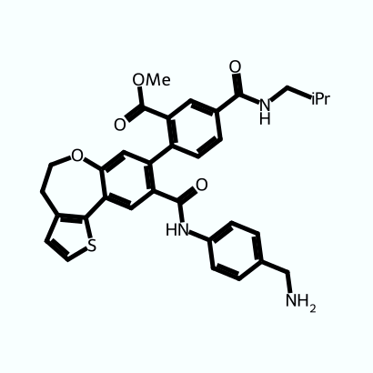 COC(=O)c1cc(C(=O)NCC(C)C)ccc1-c1cc2c(cc1C(=O)Nc1ccc(CN)cc1)-c1sccc1CCO2